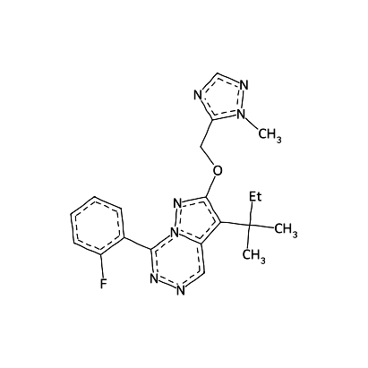 CCC(C)(C)c1c(OCc2ncnn2C)nn2c(-c3ccccc3F)nncc12